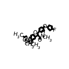 CCCN(c1cc2oc(-c3ccc(Oc4ccc(F)cc4)cc3)c(C(=O)NC)c2cc1OC)S(C)(=O)=O